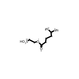 CCCC(CCCC(=O)OCCS(=O)(=O)O)C(C)C